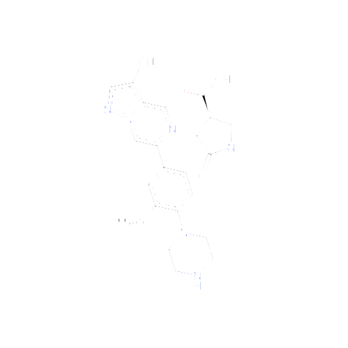 COc1cc(-c2cn3ncc(C)c3c(OC(C)[C@H]3CNC(=O)C3)n2)ccc1N1CCNCC1